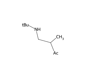 CC(=O)C(C)CNC(C)(C)C